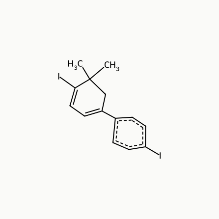 CC1(C)CC(c2ccc(I)cc2)=CC=C1I